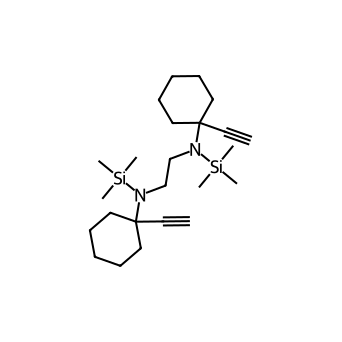 C#CC1(N(CCN(C2(C#C)CCCCC2)[Si](C)(C)C)[Si](C)(C)C)CCCCC1